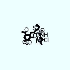 CC(=O)c1cc2c(c(C)c1CC(=O)c1sccc1S(=O)(=O)Nc1onc(C)c1Cl)OCO2